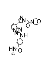 O=C(NC1CC1)c1ccc(Nc2nc3c(-c4cnn(CC(=O)N5CCOCC5)c4)cccn3n2)cc1